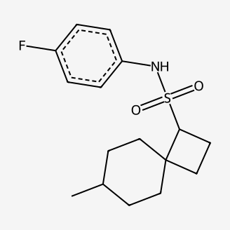 CC1CCC2(CC1)CCC2S(=O)(=O)Nc1ccc(F)cc1